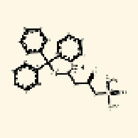 COP(=O)(CC(=O)CC(NC(c1ccccc1)(c1ccccc1)c1ccccc1)C(=O)O)OC